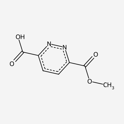 COC(=O)c1ccc(C(=O)O)nn1